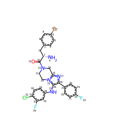 N[C@@H](Cc1ccc(Br)cc1)C(=O)N1CCn2c(nc(-c3ccc(F)cc3)c2Nc2ccc(Cl)c(F)c2)C1